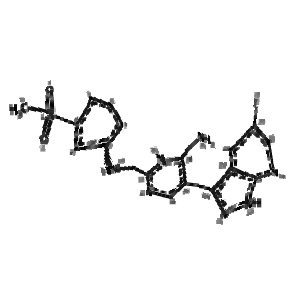 CS(=O)(=O)c1cccc(Nc2ncc(-c3n[nH]c4ncc(F)cc34)c(N)n2)c1